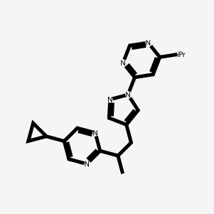 CC(C)c1cc(-n2cc(CC(C)c3ncc(C4CC4)cn3)cn2)ncn1